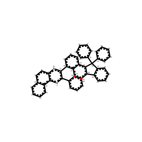 c1ccc(-c2nc3c(ccc4ccccc43)nc2-c2cccc3c4c(ccc23)-c2ccccc2C4(c2ccccc2)c2ccccc2)cc1